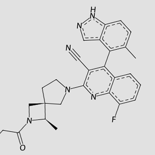 CCC(=O)N1C[C@]2(CCN(c3nc4c(F)cccc4c(-c4c(C)ccc5[nH]ncc45)c3C#N)C2)[C@H]1C